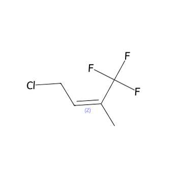 C/C(=C/CCl)C(F)(F)F